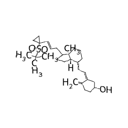 C=C1CCC(O)C/C1=C/C=C1\CCC[C@]2(C)C(C/C=C/C3(S(=O)(=O)C(C)(C)C)CC3)CC[C@@H]12